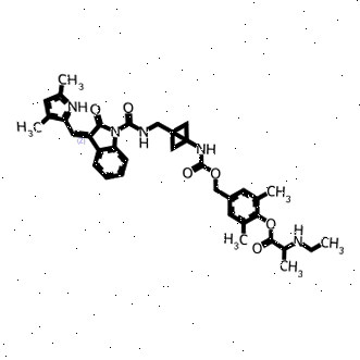 CCNC(C)C(=O)Oc1c(C)cc(COC(=O)NC23CC2(CNC(=O)N2C(=O)/C(=C\c4[nH]c(C)cc4C)c4ccccc42)C3)cc1C